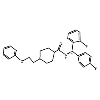 O=C(N[C@H](c1ccc(F)cc1)c1ccccc1F)C1CCN(CCOc2ccccc2)CC1